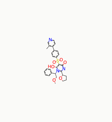 COCC(c1ccccc1)n1c(C2CCCO2)nc(=O)c(S(=O)(=O)c2ccc(-c3ccncc3C)cc2)c1O